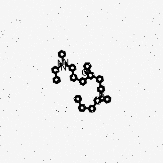 c1ccc(-c2cccc(-c3cccc(-c4ccc5c(c4)c4ccccc4n5-c4ccc(-c5cccc(-c6cc(-c7cccc(-c8cccc(-c9cccc(-c%10nc(-c%11ccccc%11)nc(-c%11cccc(-c%12ccccc%12)c%11)n%10)c9)c8)c7)c7oc8ccccc8c7c6)c5)cc4)c3)c2)cc1